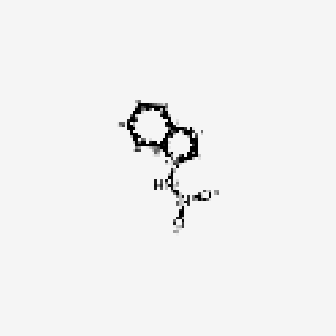 O=[N+]([O-])Nn1cnc2ccccc21